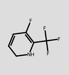 FC1=C(C(F)(F)F)NCC=[C]1